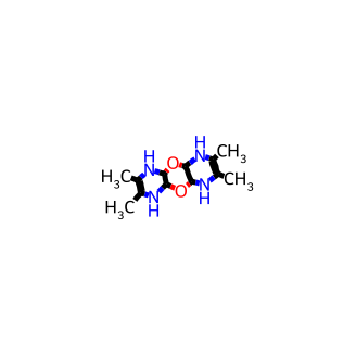 CC1=C(C)NC2OC3NC(C)=C(C)NC3OC2N1